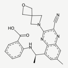 Cc1cc([C@@H](C)Nc2ccccc2C(=O)O)c2nc(N3CC4(COC4)C3)c(C#N)nc2c1